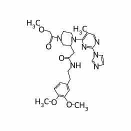 COCC(=O)N1CCN(c2nc(-n3ccnc3)ncc2C)C(CC(=O)NCCc2ccc(OC)c(OC)c2)C1